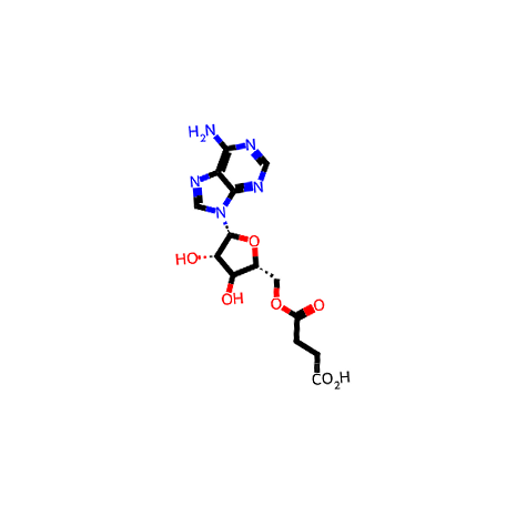 Nc1ncnc2c1ncn2[C@@H]1O[C@H](COC(=O)CCC(=O)O)C(O)[C@@H]1O